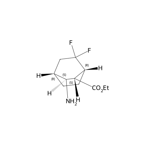 CCOC(=O)[C@@H]1[C@@H](N)[C@@H]2CC[C@H]1C(F)(F)C2